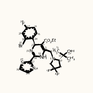 CCOC(=O)C1=C(CN2CC(F)(F)C[C@H]2C(C)(C)O)NC(c2nccs2)=N[C@H]1c1ccc(F)cc1Br